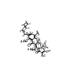 CC(=O)C1=C(O)[C@@H](N(C)C)[C@@H]2C[C@@H]3Cc4c(N(C)C)cc(CN5CC6(CCC6)C5)c(O)c4C(=O)C3=C(O)[C@]2(O)C1=O